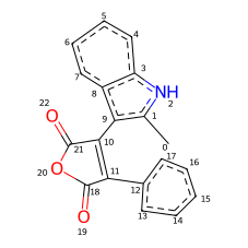 Cc1[nH]c2ccccc2c1C1=C(c2ccccc2)C(=O)OC1=O